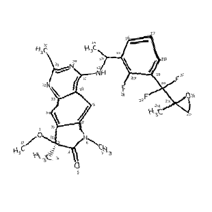 CO[C@]1(C)C(=O)N(C)c2cc3c(NC(C)c4cccc(C(F)(F)C5(C)CO5)c4F)nc(C)nc3cc21